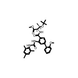 COC(=O)[C@@H](NC(=O)c1ccc(-c2ccccc2OC)cc1NC(=O)Nc1c(C)cc(C)cc1C)[C@@H](C)OC(C)(C)C